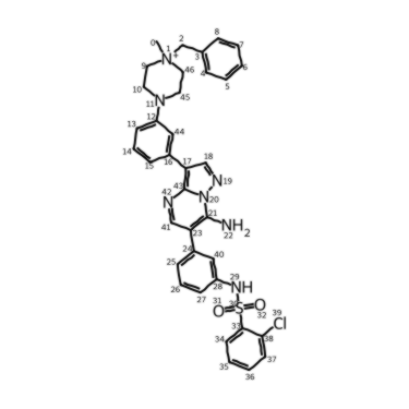 C[N+]1(Cc2ccccc2)CCN(c2cccc(-c3cnn4c(N)c(-c5cccc(NS(=O)(=O)c6ccccc6Cl)c5)cnc34)c2)CC1